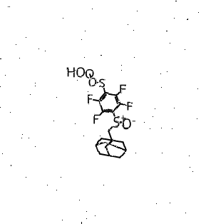 [O-][S+](CC12CC3CC(CC(C3)C1)C2)c1c(F)c(F)c(SOOO)c(F)c1F